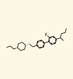 CCCC(C)c1ccc(-c2ccc(CC[C@H]3CC[C@H](CCC)CC3)cc2)c(F)c1